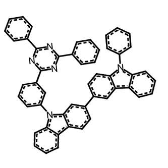 c1ccc(-c2nc(-c3ccccc3)nc(-c3cccc(-n4c5ccccc5c5ccc(-c6ccc7c(c6)c6ccccc6n7-c6ccccc6)cc54)c3)n2)cc1